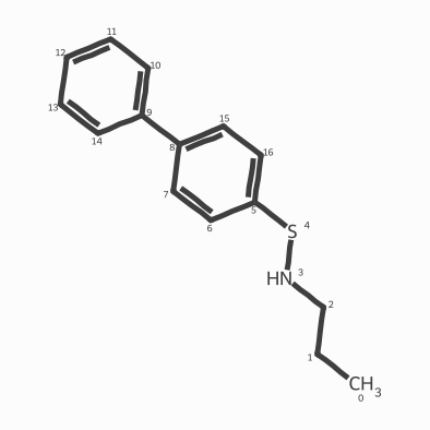 CCCNSc1ccc(-c2ccccc2)cc1